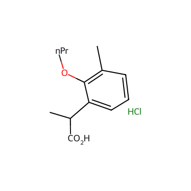 CCCOc1c(C)cccc1C(C)C(=O)O.Cl